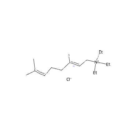 CC[N+](CC)(CC)C/C=C(\C)CCC=C(C)C.[Cl-]